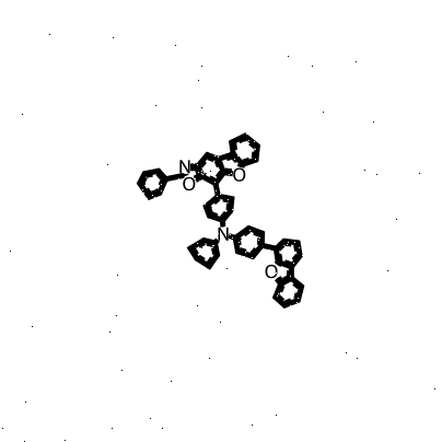 c1ccc(-c2nc3cc4c(oc5ccccc54)c(-c4ccc(N(c5ccccc5)c5ccc(-c6cccc7c6oc6ccccc67)cc5)cc4)c3o2)cc1